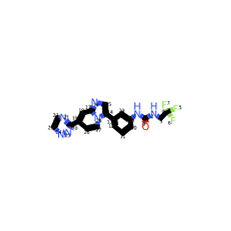 O=C(NCC(F)(F)F)Nc1cccc(-c2cnc3cc(-c4nccnn4)ccn23)c1